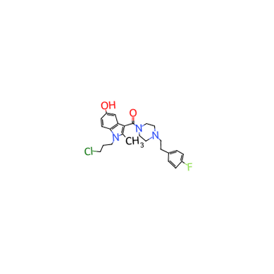 Cc1c(C(=O)N2CCN(CCc3ccc(F)cc3)CC2)c2cc(O)ccc2n1CCCCl